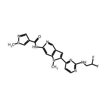 Cn1cc(C(=O)Nc2cc3c(cn2)cc(-c2ccnc(NCC(F)F)n2)n3C)cn1